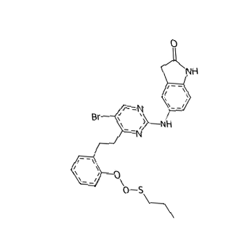 CCCSOOc1ccccc1CCc1nc(Nc2ccc3c(c2)CC(=O)N3)ncc1Br